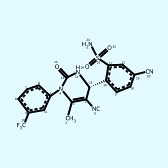 [C-]#[N+]C1=C(C)N(c2cccc(C(F)(F)F)c2)C(=O)N[C@@H]1c1ccc(C#N)cc1S(N)(=O)=O